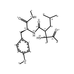 CNC(=O)[C@H](Cc1ccc(OC)cc1)NC(=O)C(CC(C)C)C(C)(S)C(C)=O